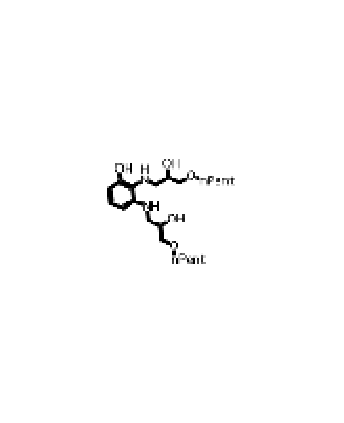 CCCCCOCC(O)CNc1cccc(O)c1NCC(O)COCCCCC